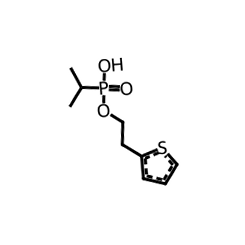 CC(C)P(=O)(O)OCCc1cccs1